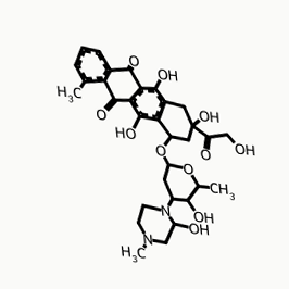 Cc1cccc2c1C(=O)c1c(O)c3c(c(O)c1C2=O)CC(O)(C(=O)CO)CC3OC1CC(N2CCN(C)CC2O)C(O)C(C)O1